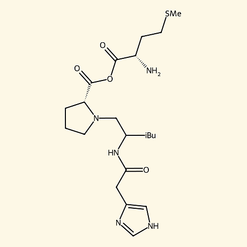 CCC(C)C(CN1CCC[C@@H]1C(=O)OC(=O)[C@@H](N)CCSC)NC(=O)Cc1c[nH]cn1